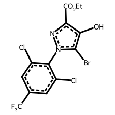 CCOC(=O)c1nn(-c2c(Cl)cc(C(F)(F)F)cc2Cl)c(Br)c1O